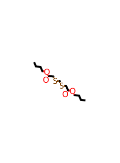 CCCCOC(=O)CSCSCC(=O)OCCCC